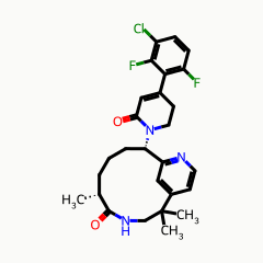 C[C@@H]1CCC[C@H](N2CCC(c3c(F)ccc(Cl)c3F)=CC2=O)c2cc(ccn2)C(C)(C)CNC1=O